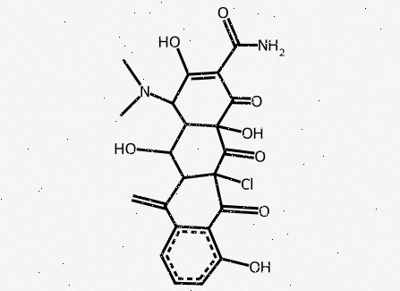 C=C1c2cccc(O)c2C(=O)C2(Cl)C(=O)C3(O)C(=O)C(C(N)=O)=C(O)C(N(C)C)C3C(O)C12